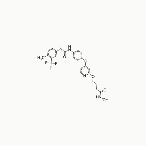 Cc1ccc(NC(=O)Nc2ccc(Oc3ccnc(OCCCC(=O)NO)c3)cc2)cc1C(F)(F)F